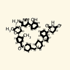 Cc1cc(C(=O)N2CCC(CN3CCC(n4ccc5c(N6CCC(=O)NC6=O)cccc54)CC3)CC2)ccc1[C@@H]1CN(c2cc(-c3ccccc3O)nnc2N)C[C@H](C)O1